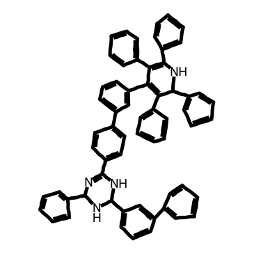 c1ccc(C2=C(c3ccccc3)C(c3cccc(-c4ccc(C5=NC(c6ccccc6)NC(c6cccc(-c7ccccc7)c6)N5)cc4)c3)=C(c3ccccc3)C(c3ccccc3)N2)cc1